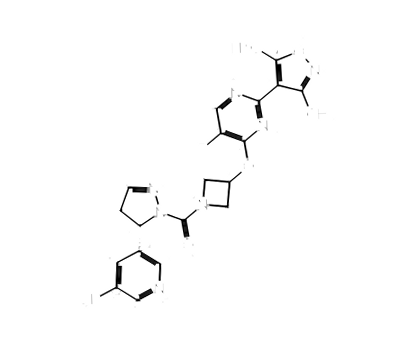 Cc1noc(C)c1-c1ncc(F)c(OC2CN(C(=O)N3N=CC[C@H]3c3cncc(F)c3)C2)n1